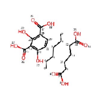 CCCCCC.O=C(O)CCCCC(=O)O.O=C(O)c1ccc(O)c(C(=O)O)c1O